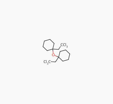 ClC(Cl)(Cl)CC1(OC2(CC(Cl)(Cl)Cl)CCCCC2)CCCCC1